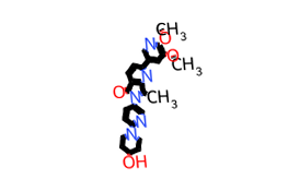 COc1cc(-c2ccc3c(n2)C(C)N(c2ccc(N4CCC(O)CC4)nc2)C3=O)cnc1OC